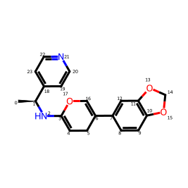 C[C@H](NC1=CCC(c2ccc3c(c2)OCO3)=CO1)c1ccncc1